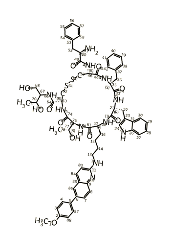 COc1ccc(-c2ccc3nc(NCCCC[C@@H]4NC(=O)[C@@H](Cc5c[nH]c6ccccc56)NC(=O)[C@H](Cc5ccccc5)NC(=O)[C@@H](NC(=O)[C@H](N)Cc5ccccc5)CSSC[C@@H](C(=O)NC(CO)C(C)O)NC(=O)[C@H]([C@@H](C)O)NC4=O)ccc3c2)cc1